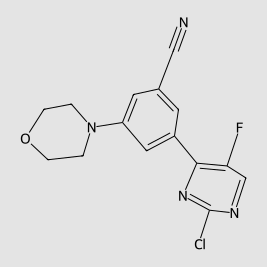 N#Cc1cc(-c2nc(Cl)ncc2F)cc(N2CCOCC2)c1